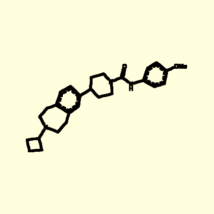 COc1ccc(NC(=O)N2CCC(c3ccc4c(c3)CCN(C3CCC3)CC4)CC2)cc1